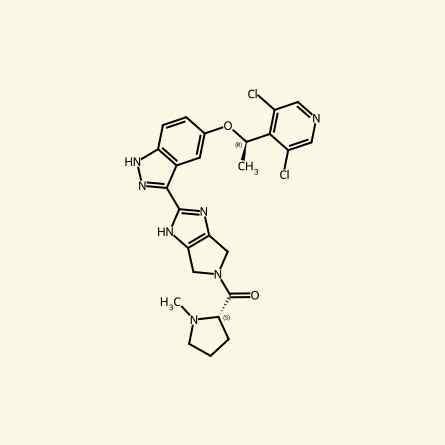 C[C@@H](Oc1ccc2[nH]nc(-c3nc4c([nH]3)CN(C(=O)[C@@H]3CCCN3C)C4)c2c1)c1c(Cl)cncc1Cl